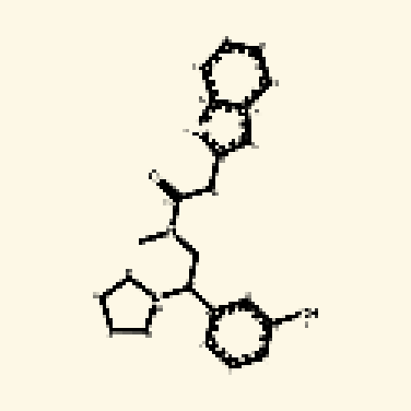 CN(CC(c1cccc(O)c1)N1CCCC1)C(=O)Cc1cc2ccccc2o1